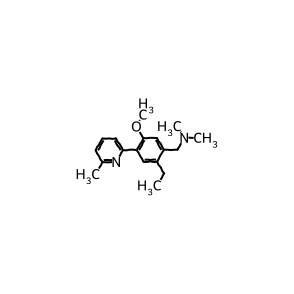 CCc1cc(-c2cccc(C)n2)c(OC)cc1CN(C)C